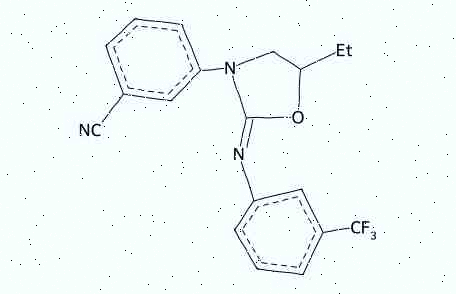 CCC1CN(c2cccc(C#N)c2)C(=Nc2cccc(C(F)(F)F)c2)O1